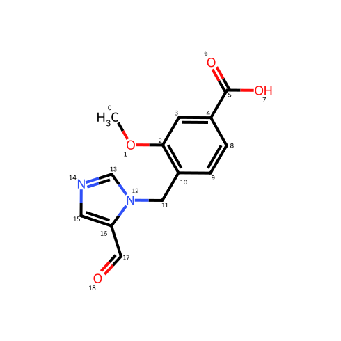 COc1cc(C(=O)O)ccc1Cn1cncc1C=O